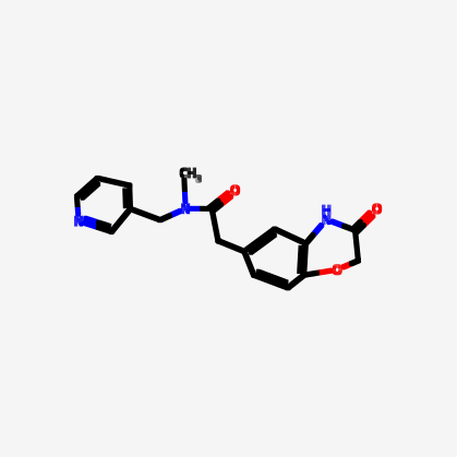 CN(Cc1cccnc1)C(=O)Cc1ccc2c(c1)NC(=O)CO2